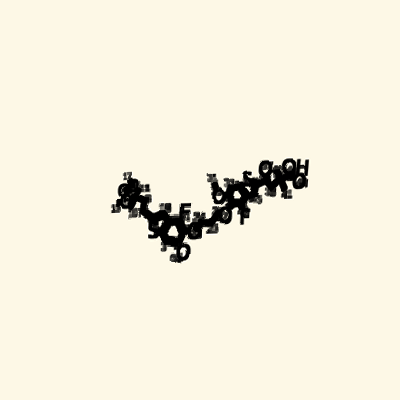 COc1cc2sc(CCC(C)(C)P(=O)(OC)OC)cc2c(F)c1OCCCOc1c(OC)cc2sc(C(=O)CC(C)(C)C(=O)O)cc2c1F